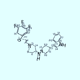 O=C(C=CN1CCC(NN2CCC(c3c[nH]c4ccccc34)CC2)CC1)c1cc(F)c(F)c(F)c1